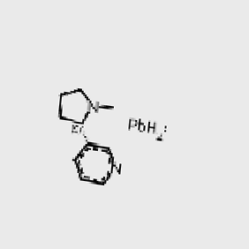 CN1CCC[C@H]1c1cccnc1.[PbH2]